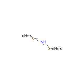 CCCCCCSCCNCCSCCCCCC